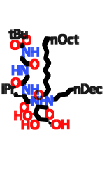 CCCCCCCC/C=C\CCCCCCCC(=O)N(CCCCCCCCCCCCCC)[C@@H]1O[C@H](CO)[C@@H](O)[C@H](O)[C@H]1NC(=O)[C@H](CC(C)C)NC(=O)CNC(=O)CNC(=O)OC(C)(C)C